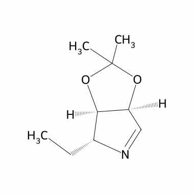 CC[C@H]1N=C[C@@H]2OC(C)(C)O[C@@H]21